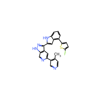 Cc1ccncc1-c1cc2c(-c3cc4c(-c5ccc(F)s5)cccc4[nH]3)n[nH]c2cn1